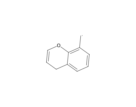 [CH2]c1cccc2c1OC=CC2